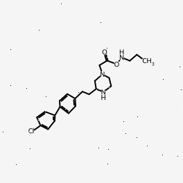 CCCNOC(=O)CN1CCNC(CCc2ccc(-c3ccc(Cl)cc3)cc2)C1